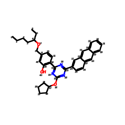 CCCCC(CC)OCc1ccc(-c2nc(OC3CCCC3)nc(-c3ccc4cc5ccccc5cc4c3)n2)c(O)c1